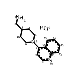 Cl.NCC1CCN(c2ccnc3ccccc23)CC1